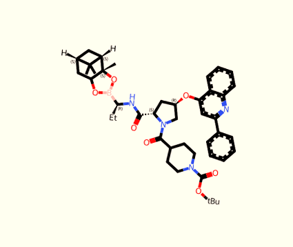 CC[C@H](NC(=O)[C@@H]1C[C@@H](Oc2cc(-c3ccccc3)nc3ccccc23)CN1C(=O)C1CCN(C(=O)OC(C)(C)C)CC1)B1OC2C[C@@H]3C[C@@H](C3(C)C)[C@]2(C)O1